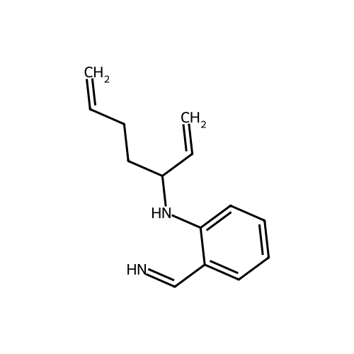 C=CCCC(C=C)Nc1ccccc1C=N